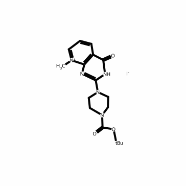 C[n+]1cccc2c(=O)[nH]c(N3CCN(C(=O)OC(C)(C)C)CC3)nc21.[I-]